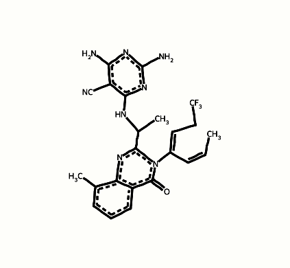 C/C=C\C(=C/CC(F)(F)F)n1c(C(C)Nc2nc(N)nc(N)c2C#N)nc2c(C)cccc2c1=O